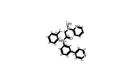 CCCN(c1ccccn1)[C@@H](Cc1ccccc1)C(=O)Nc1cccc(-c2ccncc2)c1